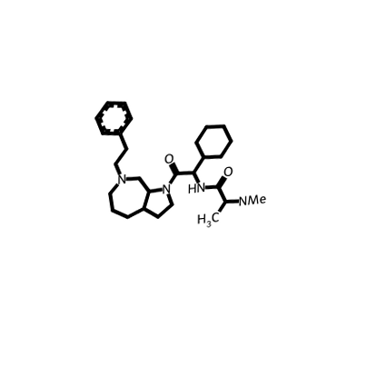 CNC(C)C(=O)NC(C(=O)N1CCC2CCCN(CCc3ccccc3)CC21)C1CCCCC1